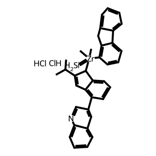 CC(C)C1=Cc2c(-c3cnc4ccccc4c3)cccc2[CH]1[Zr]([CH3])([CH3])(=[SiH2])[c]1cccc2c1Cc1ccccc1-2.Cl.Cl